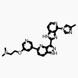 Cc1cn(-c2nccc3[nH]c(-c4n[nH]c5ccc(-c6cncc(OCCN(C)C)c6)nc45)nc23)cn1